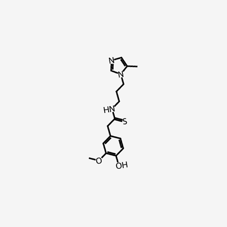 COc1cc(CC(=S)NCCCn2cncc2C)ccc1O